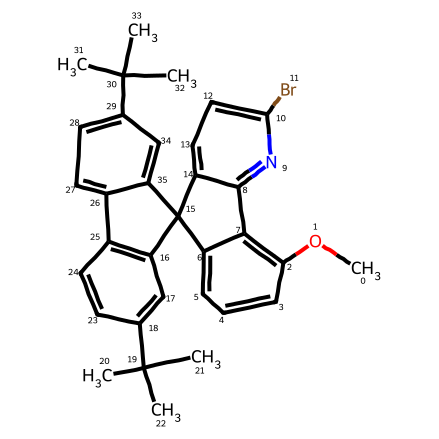 COc1cccc2c1-c1nc(Br)ccc1C21c2cc(C(C)(C)C)ccc2-c2ccc(C(C)(C)C)cc21